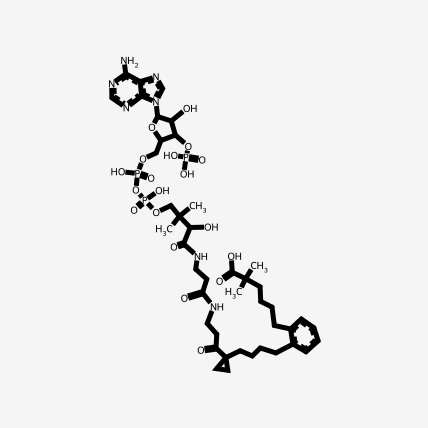 CC(C)(CCCCc1ccccc1CCCCC1(C(=O)CCNC(=O)CCNC(=O)C(O)C(C)(C)COP(=O)(O)OP(=O)(O)OCC2OC(n3cnc4c(N)ncnc43)C(O)C2OP(=O)(O)O)CC1)C(=O)O